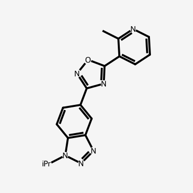 Cc1ncccc1-c1nc(-c2ccc3c(c2)nnn3C(C)C)no1